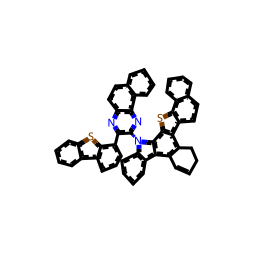 C1=Cc2c(c3c4ccc5ccccc5c4sc3c3c2c2ccccc2n3-c2nc3c(ccc4ccccc43)nc2-c2cccc3c2sc2ccccc23)CC1